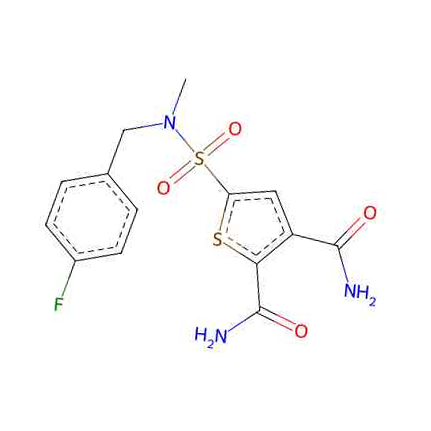 CN(Cc1ccc(F)cc1)S(=O)(=O)c1cc(C(N)=O)c(C(N)=O)s1